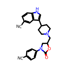 N#Cc1ccc(N2CC(CN3CCC(c4c[nH]c5ccc(C#N)cc45)CC3)OC2=O)cc1